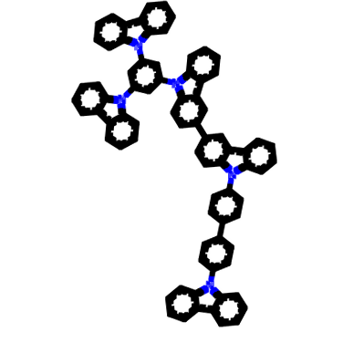 c1ccc2c(c1)c1ccccc1n2-c1ccc(-c2ccc(-n3c4ccccc4c4cc(-c5ccc6c(c5)c5ccccc5n6-c5cc(-n6c7ccccc7c7ccccc76)cc(-n6c7ccccc7c7ccccc76)c5)ccc43)cc2)cc1